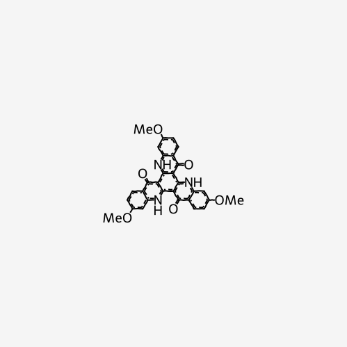 COc1ccc2c(=O)c3c4[nH]c5cc(OC)ccc5c(=O)c4c4[nH]c5cc(OC)ccc5c(=O)c4c3[nH]c2c1